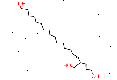 OCC=CC(CO)CCCCCCCCCCCCCCCCO